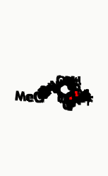 CC[C@H]1OC(=O)[C@H](C)[C@@H](OC(=O)Cc2cc(C)cc(F)c2)[C@H](C)[C@@H](OC2OC(C)CC(N(C)C)C2O)[C@](C)(OC)C[C@@H](C)/C(=N\N=C\c2ccc(OC)cc2)[C@H](C)[C@@H](O)[C@]1(C)O